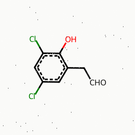 O=CCc1cc(Cl)cc(Cl)c1O